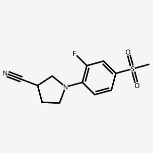 CS(=O)(=O)c1ccc(N2CCC(C#N)C2)c(F)c1